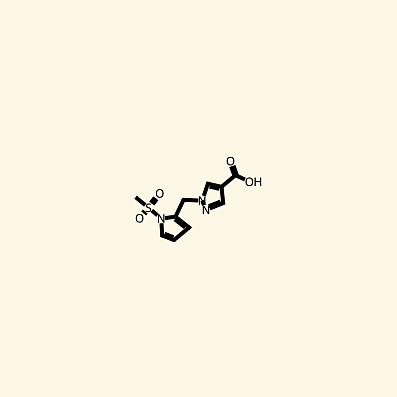 CS(=O)(=O)n1cccc1Cn1cc(C(=O)O)cn1